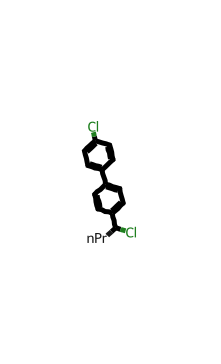 CCCC(Cl)c1ccc(-c2ccc(Cl)cc2)cc1